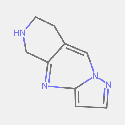 c1cc2nc3c(cn2n1)CCNC3